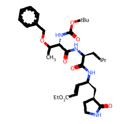 CCOC(=O)/C=C/[C@H](C[C@@H]1CCNC1=O)NC(=O)[C@H](CC(C)C)NC(=O)[C@@H](NC(=O)OC(C)(C)C)C(C)OCc1ccccc1